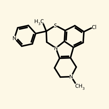 CN1CCc2c(c3cc(Cl)cc4c3n2CC(C)(c2ccncc2)S4)C1